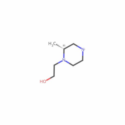 C[C@@H]1C[N]CCN1CCO